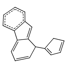 C1=CCC(C2C=CC=C3C2=Cc2ccccc23)=C1